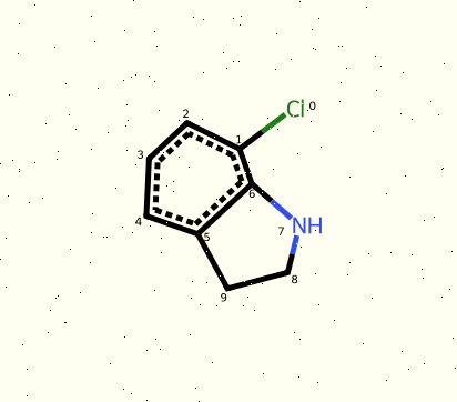 Clc1cccc2c1NCC2